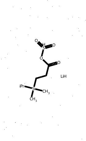 CC(C)[Si](C)(C)CCC(=O)O[SH](=O)=O.[LiH]